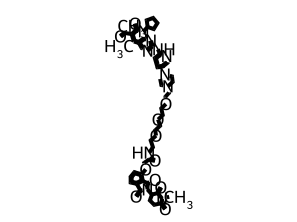 CC(=O)c1c(C)c2cnc(Nc3ccc(N4CCN(CCOCCOCCOCCNC(=O)COc5cccc6c5C(=O)N(C5CCC(=O)N(C)C5=O)C6=O)CC4)cn3)nc2n(C2CCCC2)c1=O